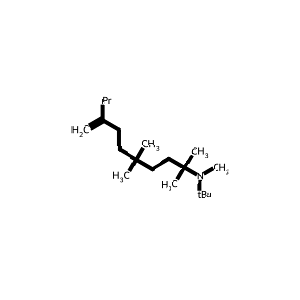 C=C(CCC(C)(C)CCC(C)(C)N(C)C(C)(C)C)C(C)C